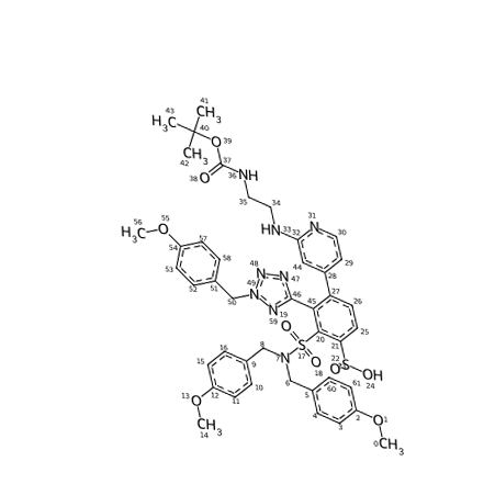 COc1ccc(CN(Cc2ccc(OC)cc2)S(=O)(=O)c2c(S(=O)O)ccc(-c3ccnc(NCCNC(=O)OC(C)(C)C)c3)c2-c2nnn(Cc3ccc(OC)cc3)n2)cc1